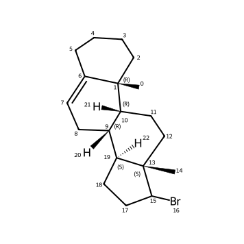 C[C@]12CCCCC1=CC[C@@H]1[C@H]2CC[C@]2(C)C(Br)CC[C@@H]12